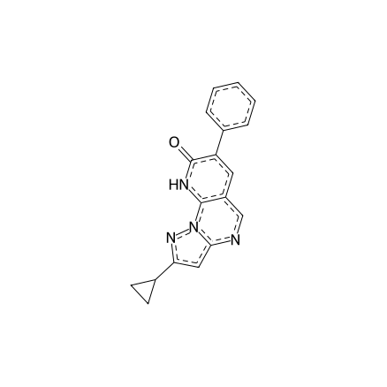 O=c1[nH]c2c(cnc3cc(C4CC4)nn32)cc1-c1ccccc1